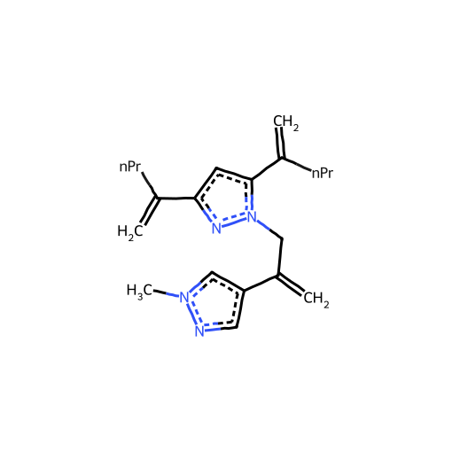 C=C(Cn1nc(C(=C)CCC)cc1C(=C)CCC)c1cnn(C)c1